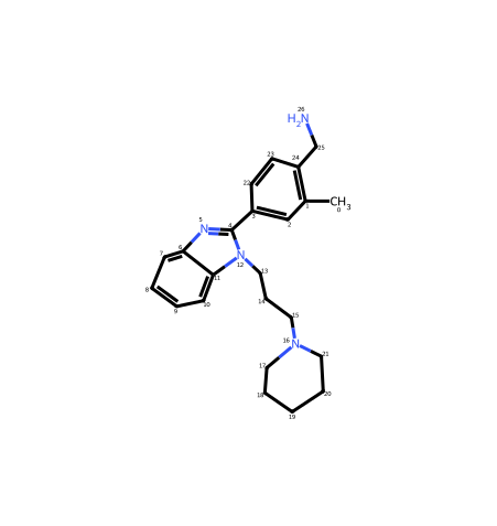 Cc1cc(-c2nc3ccccc3n2CCCN2CCCCC2)ccc1CN